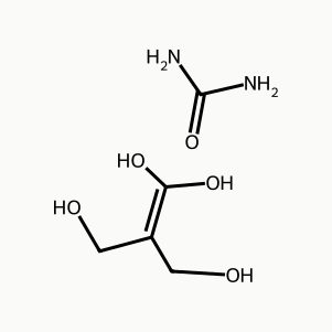 NC(N)=O.OCC(CO)=C(O)O